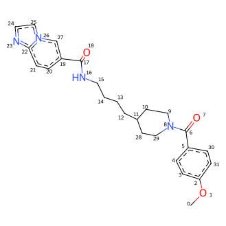 COc1ccc(C(=O)N2CCC(CCCCNC(=O)c3ccc4nccn4c3)CC2)cc1